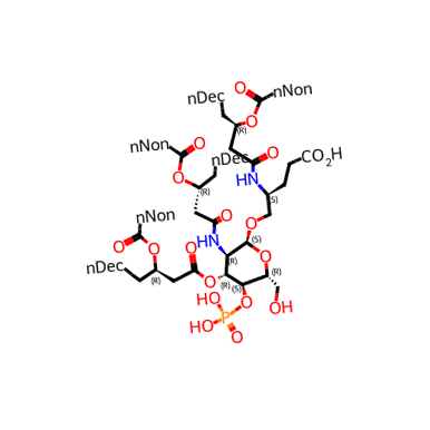 CCCCCCCCCCC[C@H](CC(=O)N[C@@H](CCC(=O)O)CO[C@H]1O[C@H](CO)[C@@H](OP(=O)(O)O)[C@H](OC(=O)C[C@@H](CCCCCCCCCCC)OC(=O)CCCCCCCCC)[C@H]1NC(=O)C[C@@H](CCCCCCCCCCC)OC(=O)CCCCCCCCC)OC(=O)CCCCCCCCC